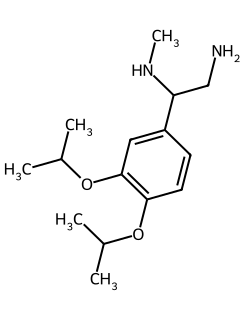 CNC(CN)c1ccc(OC(C)C)c(OC(C)C)c1